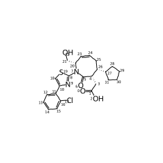 O=C(O)C[C@@H]1C(=O)N(c2nc(-c3ccccc3Cl)cs2)[C@H](CO)/C=C\C[C@@H]1C1CCCC1